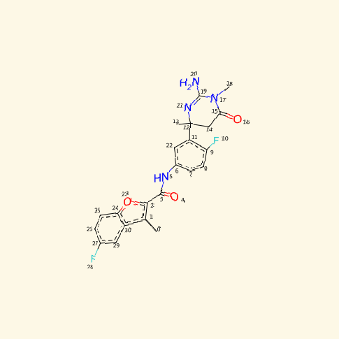 Cc1c(C(=O)Nc2ccc(F)c(C3(C)CC(=O)N(C)C(N)=N3)c2)oc2ccc(F)cc12